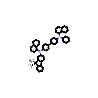 CC1(C)c2ccccc2-c2ccc(N(c3ccc(-c4ccc(N(c5ccccc5)c5cccc6ccccc56)cc4)cc3)c3cccc4ccccc34)cc21